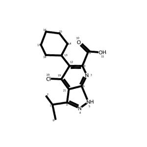 CC(C)c1n[nH]c2nc(C(=O)O)c(C3CCCCC3)c(Cl)c12